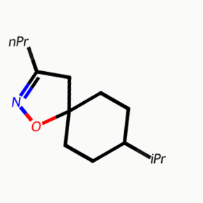 CCCC1=NOC2(CCC(C(C)C)CC2)C1